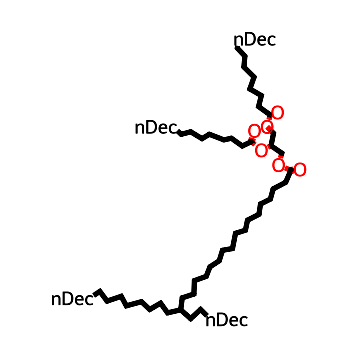 CCCCCCCCCCCCCCCCCCC(CCCCCCCCCCCC)CCCCCCCCCCCCCCCCC(=O)OCC(COC(=O)CCCCCCCCCCCCCCCCC)OC(=O)CCCCCCCCCCCCCCCCC